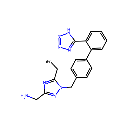 CC(C)Cc1nc(CN)nn1Cc1ccc(-c2ccccc2-c2nnn[nH]2)cc1